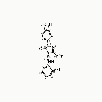 CCCC1=NN(c2ccc(S(=O)(=O)O)cc2)C(=O)/C1=C/Nc1ccccc1CC